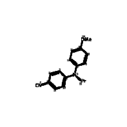 [C-]#[N+]c1ccc(N(c2ccc(OC)cc2)C(C)C)cc1